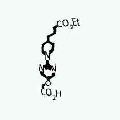 CCOC(=O)CCCC1CCN(c2ncc(OCC(=O)O)cn2)CC1